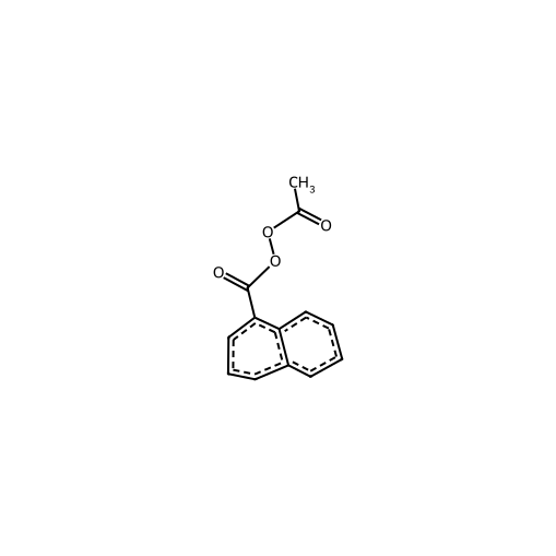 CC(=O)OOC(=O)c1cccc2ccccc12